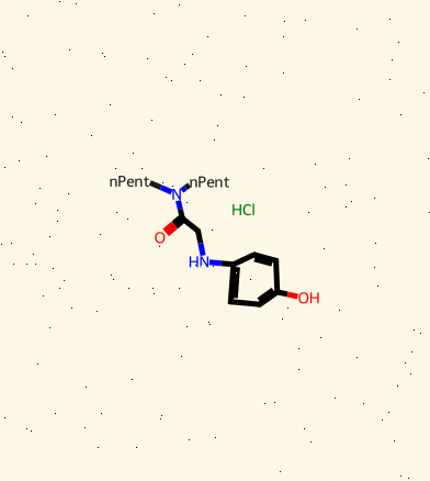 CCCCCN(CCCCC)C(=O)CNc1ccc(O)cc1.Cl